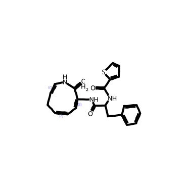 C=C1N/C=C\C/C=C\C=C/1NC(=O)C(Cc1ccccc1)NC(=O)c1cccs1